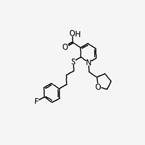 O=C(O)C1=CC=CN(CC2CCCO2)C1SCCCc1ccc(F)cc1